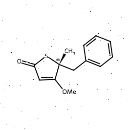 COC1=CC(=O)S[C@]1(C)Cc1ccccc1